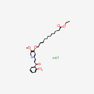 CCOC(=O)CCCCCCCCCCCOc1cc(C=CC(=O)c2ccccc2OC)ncc1OC.Cl